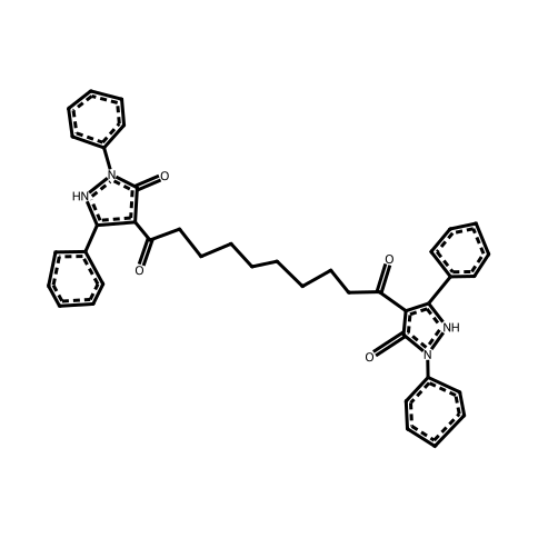 O=C(CCCCCCCCC(=O)c1c(-c2ccccc2)[nH]n(-c2ccccc2)c1=O)c1c(-c2ccccc2)[nH]n(-c2ccccc2)c1=O